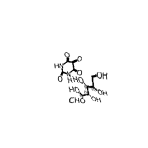 O=C1NC(=O)C(=O)C(=O)N1.O=C[C@H](O)[C@@H](O)[C@H](O)[C@H](O)CO